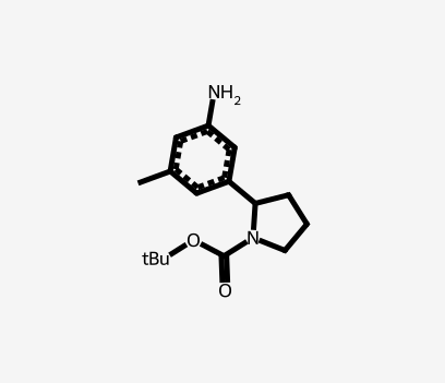 Cc1cc(N)cc(C2CCCN2C(=O)OC(C)(C)C)c1